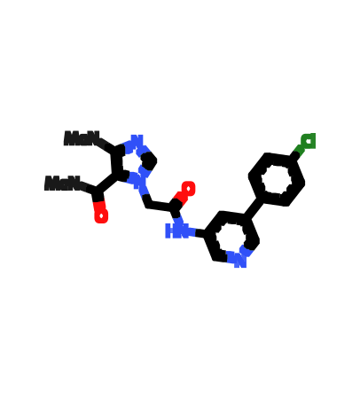 CNC(=O)c1c(NC)ncn1CC(=O)Nc1cncc(-c2ccc(Cl)cc2)c1